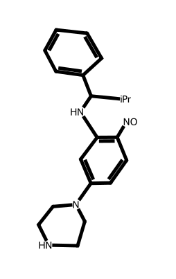 CC(C)C(Nc1cc(N2CCNCC2)ccc1N=O)c1ccccc1